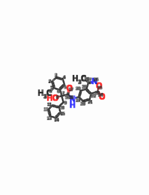 Cc1ccccc1C(O)(Cc1ccccc1)C(=O)Nc1ccc2c(=O)onc(C)c2c1